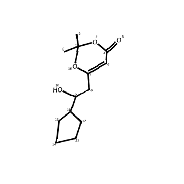 CC1(C)OC(=O)C=C(CC(O)C2CCCC2)O1